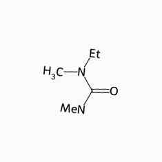 [CH2]CN(C)C(=O)NC